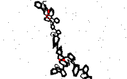 c1cc(-c2ccc3sc4ccccc4c3c2)cc(N(c2cccc(-c3cccc4c3oc3ccc(-c5ccc6c(-c7ccccc7N(c7cccc(-c8cccc9c8oc8ccccc89)c7)c7cccc(-c8cccc9c8sc8ccccc89)c7)cccc6c5)cc34)c2)c2ccccc2-c2cccc3ccccc23)c1